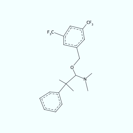 CN(C)C(OCc1cc(C(F)(F)F)cc(C(F)(F)F)c1)C(C)(C)c1ccccc1